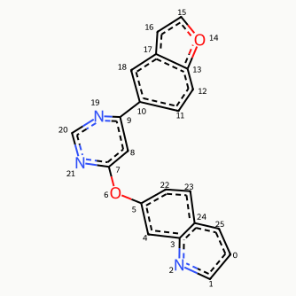 c1cnc2cc(Oc3cc(-c4ccc5occc5c4)ncn3)ccc2c1